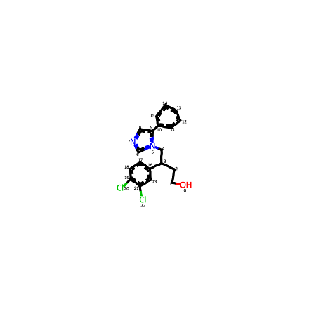 OCCC(Cn1cncc1-c1ccccc1)c1ccc(Cl)c(Cl)c1